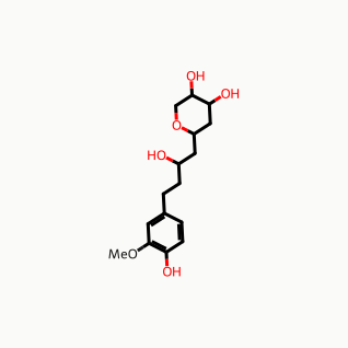 COc1cc(CCC(O)CC2CC(O)C(O)CO2)ccc1O